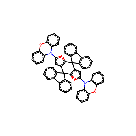 c1ccc2c(c1)Oc1ccccc1N2c1cc2c(o1)C1(c3ccccc3-c3ccccc31)c1cc(N3c4ccccc4Oc4ccccc43)oc1C21c2ccccc2-c2ccccc21